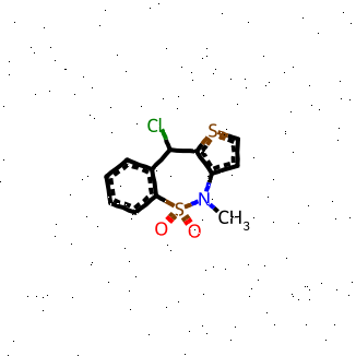 CN1c2ccsc2C(Cl)c2ccccc2S1(=O)=O